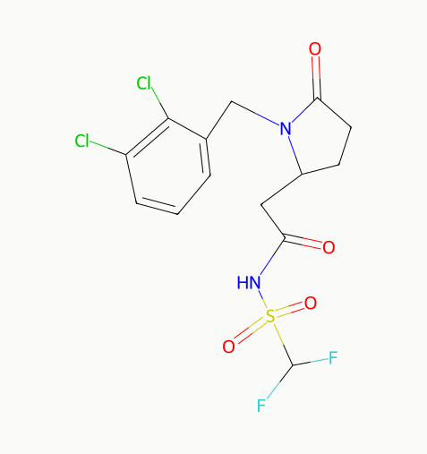 O=C(CC1CCC(=O)N1Cc1cccc(Cl)c1Cl)NS(=O)(=O)C(F)F